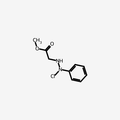 COC(=O)CNN(Cl)c1ccccc1